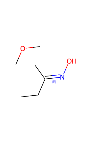 CC/C(C)=N/O.COC